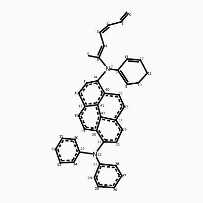 C=C/C=C\C=C(/C)N(C1=CCCC=C1)c1ccc2ccc3c(N(c4ccccc4)c4ccccc4)ccc4ccc1c2c43